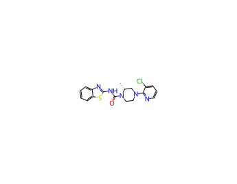 C[C@@H]1CN(c2ncccc2Cl)CCN1C(=O)Nc1nc2ccccc2s1